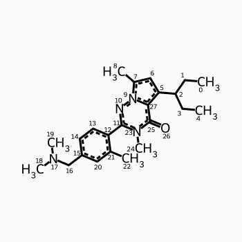 CCC(CC)c1cc(C)n2nc(-c3ccc(CN(C)C)cc3C)n(C)c(=O)c12